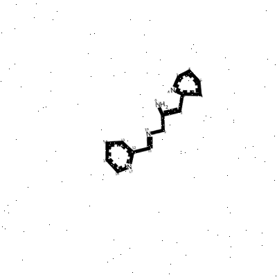 NC(=Cc1ccccn1)CN=Cc1ccccn1